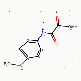 COC(=O)C(=O)Nc1ccc(SC(F)(F)F)cc1